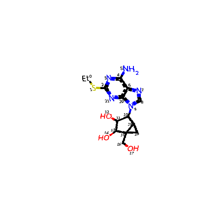 CCSc1nc(N)c2ncn(C3C(O)C(O)C4(CO)CC34)c2n1